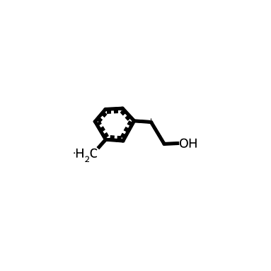 [CH2]c1cccc([CH]CO)c1